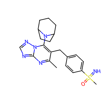 Cc1nc2ncnn2c(N2C3CCCC2CC3)c1Cc1ccc(S(C)(=N)=O)cc1